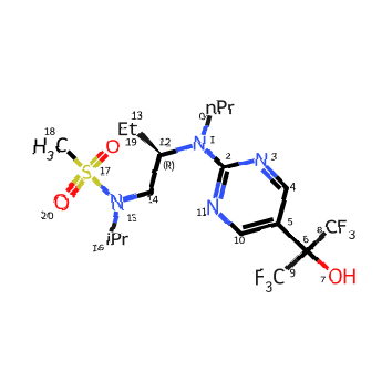 CCCN(c1ncc(C(O)(C(F)(F)F)C(F)(F)F)cn1)[C@H](CC)CN(C(C)C)S(C)(=O)=O